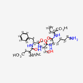 CC(=O)N[C@@H](CC(=O)O)C(=O)N[C@@H](Cc1ccccc1)C(=O)N[C@@H](CO)C(=O)N[C@@H](CCCCN)C(=O)N[C@@H](CC(C)C)C(=O)O